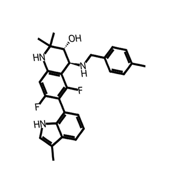 Cc1ccc(CN[C@H]2c3c(cc(F)c(-c4cccc5c(C)c[nH]c45)c3F)NC(C)(C)[C@@H]2O)cc1